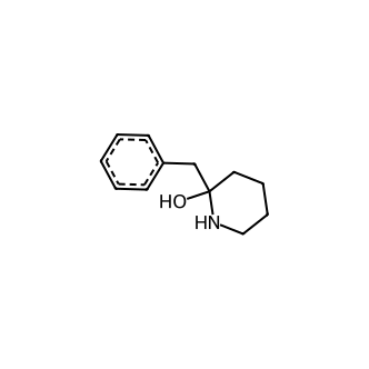 OC1(Cc2ccccc2)CCCCN1